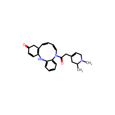 CC1CC(CC(=O)N2C=CC=CC3=C(C=CC(=O)C3)Nc3ccccc32)=CCN1C